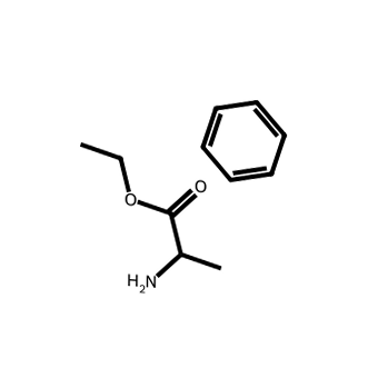 CCOC(=O)C(C)N.c1ccccc1